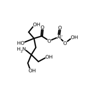 NC(CO)(CO)CC(O)(CO)C(=O)[O][Al-](=[O])[O]O